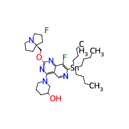 CCC[CH2][Sn]([CH2]CCC)([CH2]CCC)[c]1ncc2c(N3CCCC(O)C3)nc(OC[C@@]34CCCN3C[C@H](F)C4)nc2c1F